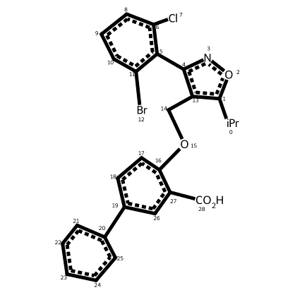 CC(C)c1onc(-c2c(Cl)cccc2Br)c1COc1ccc(-c2ccccc2)cc1C(=O)O